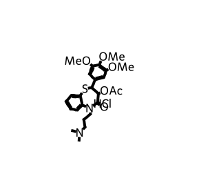 COc1cc(C2Sc3ccccc3N(CCCN(C)C)C(=O)C2OC(C)=O)cc(OC)c1OC.Cl